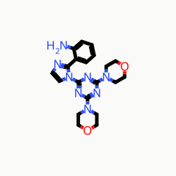 Nc1ccccc1-c1nccn1-c1nc(N2CCOCC2)nc(N2CCOCC2)n1